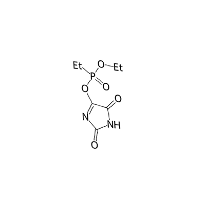 CCOP(=O)(CC)OC1=NC(=O)NC1=O